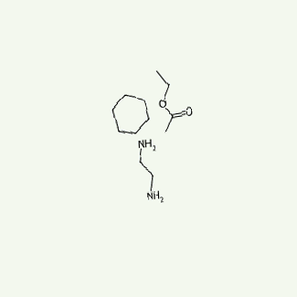 C1CCCCC1.CCOC(C)=O.NCCN